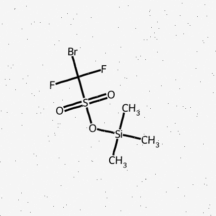 C[Si](C)(C)OS(=O)(=O)C(F)(F)Br